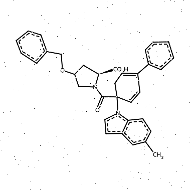 Cc1ccc2c(ccn2C2(C(=O)N3CC(OCc4ccccc4)C[C@H]3C(=O)O)C=CC(c3ccccc3)=CC2)c1